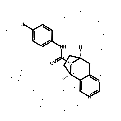 O=C(Nc1ccc(Cl)cc1)N1[C@H]2CC[C@@H]1c1cncnc1C2